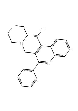 O=C(O)c1c(CN2CCOCC2)c(-c2ccccc2)nc2ccccc12